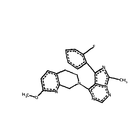 COc1ccc2c(n1)CN(c1ncnn3c(C)nc(-c4ccccc4F)c13)CC2